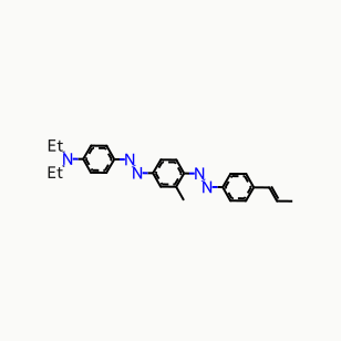 CC=Cc1ccc(N=Nc2ccc(N=Nc3ccc(N(CC)CC)cc3)cc2C)cc1